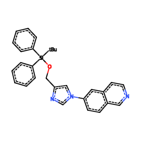 CC(C)(C)[Si](OCc1cn(-c2ccc3cnccc3c2)cn1)(c1ccccc1)c1ccccc1